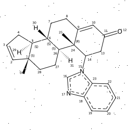 C[C@@]12C=CC[C@H]1[C@@H]1CCC3=CC(=O)CC(n4cnc5ccccc54)[C@]3(C)[C@H]1CC2